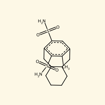 Cc1c2cc(S(N)(=O)=O)c(c1S(N)(=O)=O)CC1CCCCC1C2